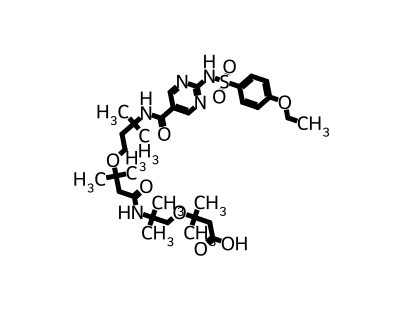 CCOc1ccc(S(=O)(=O)Nc2ncc(C(=O)NC(C)(C)CCOC(C)(C)CC(=O)NC(C)(C)COC(C)(C)CC(=O)O)cn2)cc1